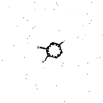 Clc1ccc(Br)c(Br)c1